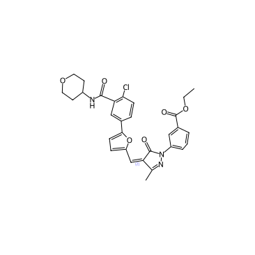 CCOC(=O)c1cccc(N2N=C(C)/C(=C/c3ccc(-c4ccc(Cl)c(C(=O)NC5CCOCC5)c4)o3)C2=O)c1